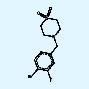 O=S1(=O)CCN(Cc2ccc(Br)c(F)c2)CC1